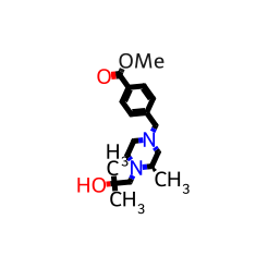 COC(=O)c1ccc(CN2CCN(CC(C)(C)O)[C@H](C)C2)cc1